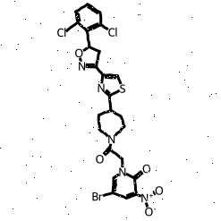 O=C(Cn1cc(Br)cc([N+](=O)[O-])c1=O)N1CCC(c2nc(C3=NOC(c4c(Cl)cccc4Cl)C3)cs2)CC1